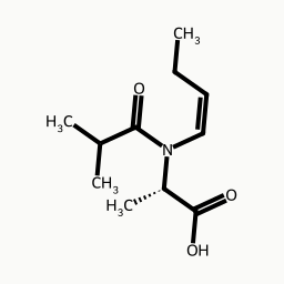 CC/C=C\N(C(=O)C(C)C)[C@@H](C)C(=O)O